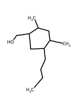 CCCCC1CC(CO)C(C)CC1C